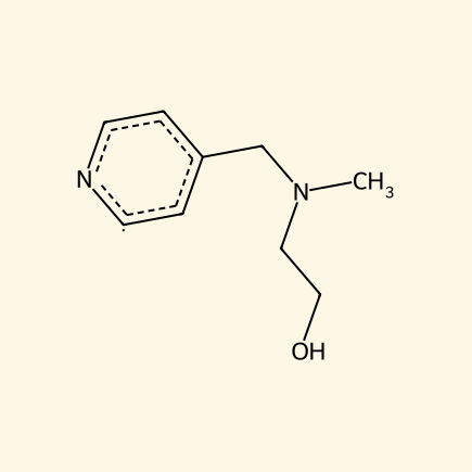 CN(CCO)Cc1c[c]ncc1